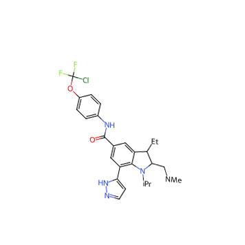 CCC1c2cc(C(=O)Nc3ccc(OC(F)(F)Cl)cc3)cc(-c3ccn[nH]3)c2N(C(C)C)C1CNC